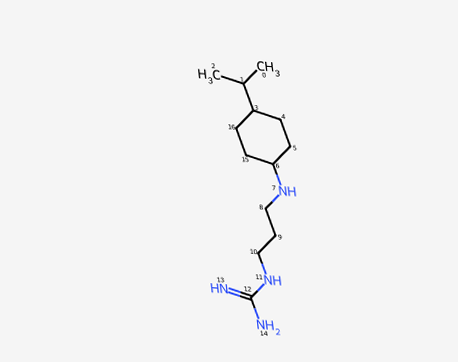 CC(C)C1CCC(NCCCNC(=N)N)CC1